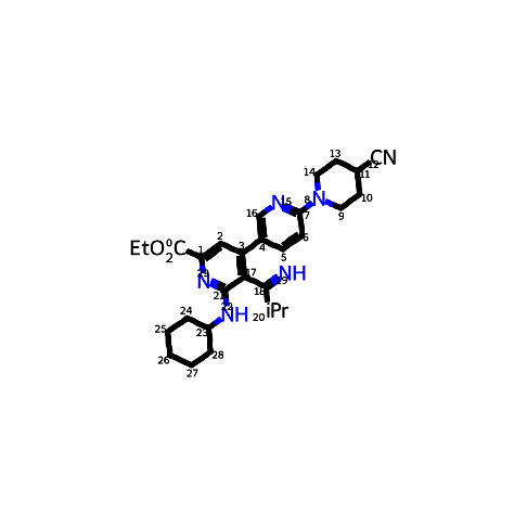 CCOC(=O)c1cc(-c2ccc(N3CCC(C#N)CC3)nc2)c(C(=N)C(C)C)c(NC2CCCCC2)n1